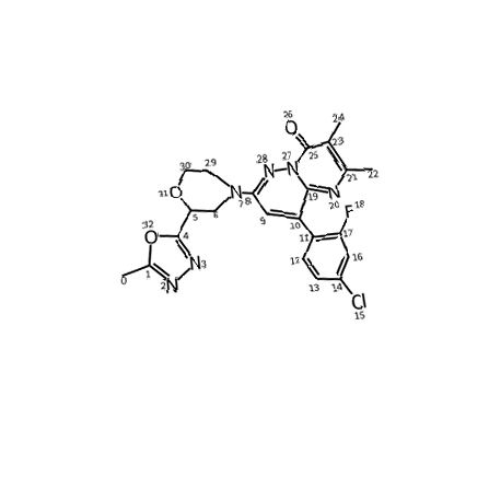 Cc1nnc(C2CN(c3cc(-c4ccc(Cl)cc4F)c4nc(C)c(C)c(=O)n4n3)CCO2)o1